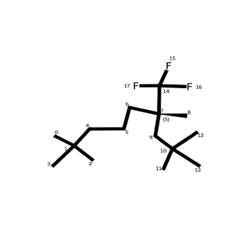 CC(C)(C)CCC[C@@](C)(CC(C)(C)C)C(F)(F)F